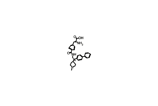 CN1CCC([C@@H](CNC(=O)c2ccc(C[C@@H](N)C(=O)O)cc2)c2ccc(-c3ccccc3)cc2)CC1